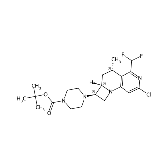 C[C@H]1C[C@H]2[C@H](N3CCN(C(=O)OC(C)(C)C)CC3)CN2c2cc(Cl)nc(C(F)F)c21